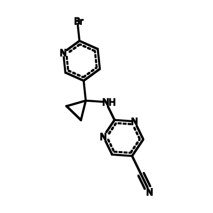 N#Cc1cnc(NC2(c3ccc(Br)nc3)CC2)nc1